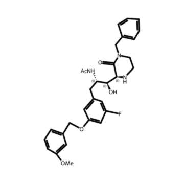 COc1cccc(COc2cc(F)cc(C[C@H](NC(C)=O)[C@H](O)[C@@H]3NCCN(Cc4ccccc4)C3=O)c2)c1